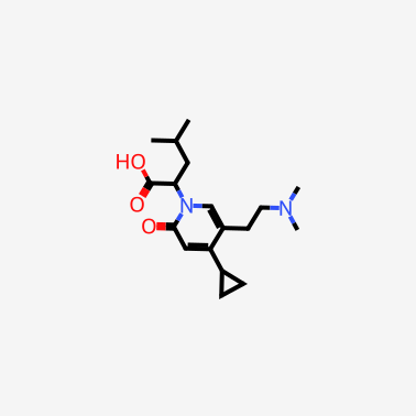 CC(C)CC(C(=O)O)n1cc(CCN(C)C)c(C2CC2)cc1=O